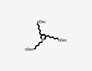 CCCCCCCCCCCCCCCc1cc(CCCCCCCCCCCCCCC)c[n+](CCCCCCCCCCCCCCC)c1